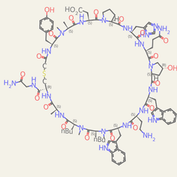 CCCC[C@H]1C(=O)N(C)[C@@H](CCCC)C(=O)N[C@@H](C)C(=O)N[C@H](C(=O)NCC(N)=O)CSCC(=O)N[C@@H](Cc2ccc(O)cc2)C(=O)N(C)[C@@H](C)C(=O)N[C@@H](CC(=O)O)C(=O)N2CCC[C@H]2C(=O)N[C@@H](Cc2cnc[nH]2)C(=O)N[C@@H](CCC(N)=O)C(=O)N2C[C@H](O)C[C@H]2C(=O)N[C@@H](Cc2c[nH]c3ccccc23)C(=O)N[C@@H](CCN)C(=O)N[C@@H](Cc2c[nH]c3ccccc23)C(=O)N1C